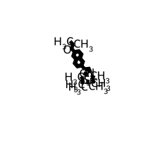 CC(C)C(=O)c1ccc2cc(-c3cnc([Si](C(C)C)(C(C)C)C(C)C)o3)ccc2c1